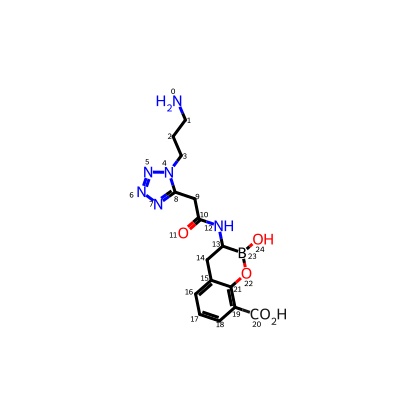 NCCCn1nnnc1CC(=O)NC1Cc2cccc(C(=O)O)c2OB1O